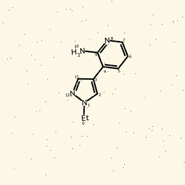 CCn1cc(-c2cccnc2N)cn1